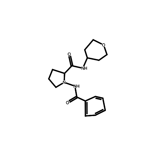 O=C(NN1CCCC1C(=O)NC1CCOCC1)c1ccccc1